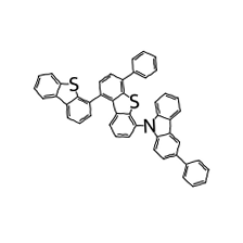 c1ccc(-c2ccc3c(c2)c2ccccc2n3-c2cccc3c2sc2c(-c4ccccc4)ccc(-c4cccc5c4sc4ccccc45)c23)cc1